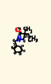 CCC1(C)CN(CC2=C[CH][C]C=C2)C1=O